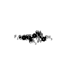 Cc1ccc(C(C)C)c(NC(=S)NC(=O)N(C)c2ccc(-c3nn(C)c(NC(=O)c4ccc(OC(F)(F)F)cc4)c3C)cc2)c1